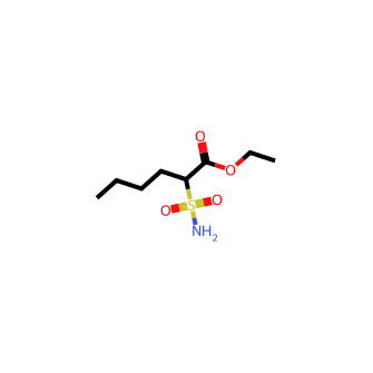 CCCCC(C(=O)OCC)S(N)(=O)=O